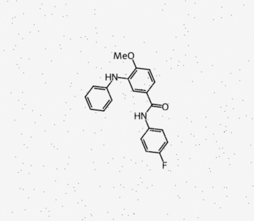 COc1ccc(C(=O)Nc2ccc(F)cc2)cc1Nc1ccccc1